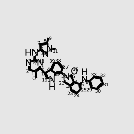 Cc1cnc(Nc2cc(C)n(C)n2)nc1-c1c[nH]c2c(N3Cc4cccc(Nc5ccccc5)c4C3=O)cccc12